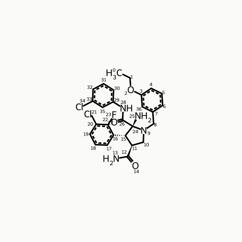 CCOc1cccc(CN2C[C@@H](C(N)=O)[C@H](c3cccc(Cl)c3F)[C@]2(N)C(=O)Nc2cccc(Cl)c2)c1